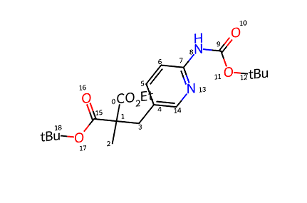 CCOC(=O)C(C)(Cc1ccc(NC(=O)OC(C)(C)C)nc1)C(=O)OC(C)(C)C